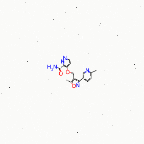 Cc1ccc(-c2noc(C)c2COc2ccnnc2C(N)=O)cn1